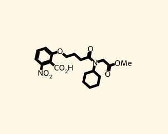 COC(=O)CN(C(=O)CCCOc1cccc([N+](=O)[O-])c1C(=O)O)C1CCCCC1